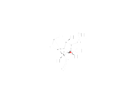 COC1C2OC3O[C@@H]1C(OP)[C@@H](O3)[C@@H]2P=O